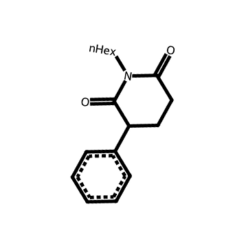 CCCCCCN1C(=O)CCC(c2ccccc2)C1=O